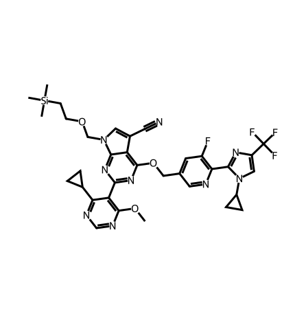 COc1ncnc(C2CC2)c1-c1nc(OCc2cnc(-c3nc(C(F)(F)F)cn3C3CC3)c(F)c2)c2c(C#N)cn(COCC[Si](C)(C)C)c2n1